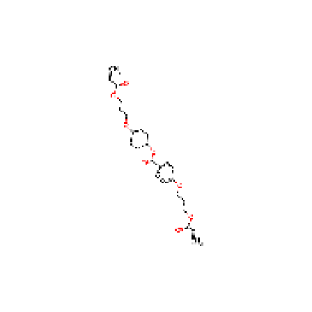 C=CC(=O)OCCCOc1ccc(C(=O)OC2CCC(OCCCOC(=O)C=C)CC2)cc1